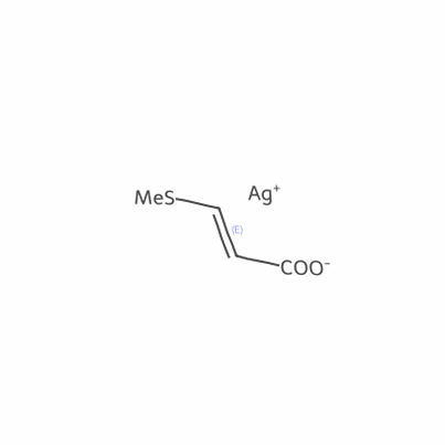 CS/C=C/C(=O)[O-].[Ag+]